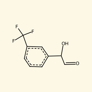 O=CC(O)c1cccc(C(F)(F)F)c1